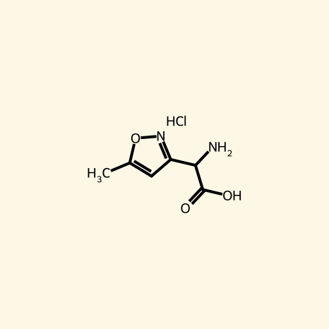 Cc1cc(C(N)C(=O)O)no1.Cl